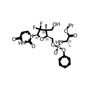 CC(C)OC(=O)[C@H](C)NP(=O)(OC[C@H]1O[C@@H](n2ccc(=O)[nH]c2=O)C(F)(F)[C@]1(C)CO)Oc1ccccc1